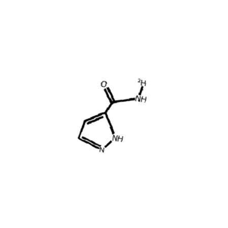 [2H]NC(=O)c1ccn[nH]1